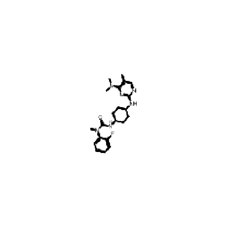 Cc1cnc(NC2CCC(NC(=O)N(C)c3ccccc3F)CC2)nc1N(C)C